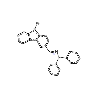 CCn1c2ccccc2c2cc(/C=N/N(c3ccccc3)c3ccccc3)ccc21